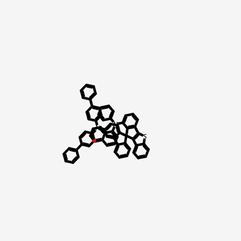 c1ccc(-c2ccc(N(c3ccc(-c4ccccc4)cc3)c3ccc4c(c3)-c3ccccc3C43c4c(cccc4N(c4ccccc4)c4cccc5ccccc45)-c4sc5ccccc5c43)cc2)cc1